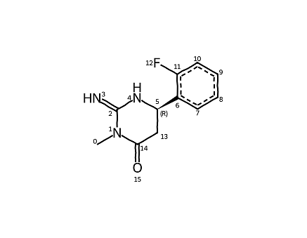 CN1C(=N)N[C@@H](c2ccccc2F)CC1=O